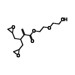 C=C(C(=O)OCCOCCO)C(CC1CO1)CC1CO1